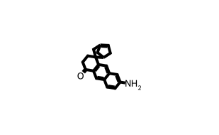 Nc1ccc2cc3c(cc2c1)C1(CCC3=O)CC2=CCC1C2